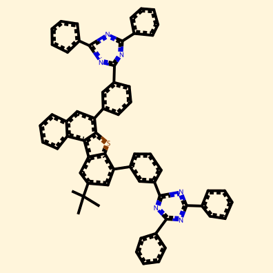 CC(C)(C)c1cc(-c2cccc(-c3nc(-c4ccccc4)nc(-c4ccccc4)n3)c2)c2sc3c(-c4cccc(-c5nc(-c6ccccc6)nc(-c6ccccc6)n5)c4)cc4ccccc4c3c2c1